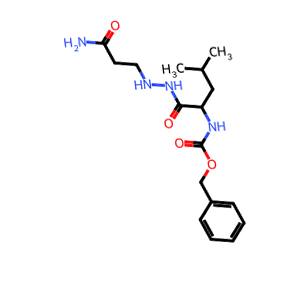 CC(C)CC(NC(=O)OCc1ccccc1)C(=O)NNCCC(N)=O